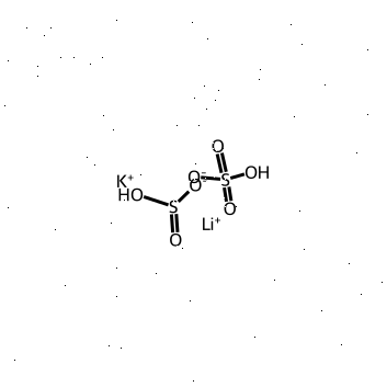 O=S(=O)([O-])O.O=S([O-])O.[K+].[Li+]